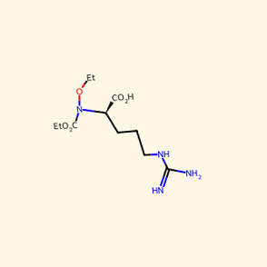 CCOC(=O)N(OCC)[C@H](CCCNC(=N)N)C(=O)O